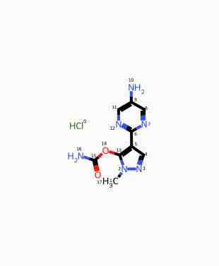 Cl.Cn1ncc(-c2ncc(N)cn2)c1OC(N)=O